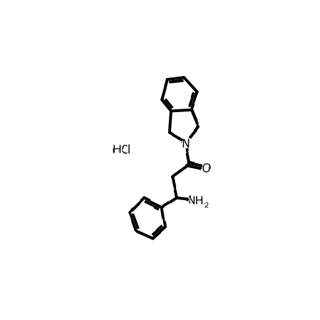 Cl.NC(CC(=O)N1Cc2ccccc2C1)c1ccccc1